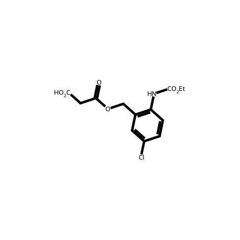 CCOC(=O)Nc1ccc(Cl)cc1COC(=O)CC(=O)O